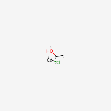 CCO.[Cl][Cd]